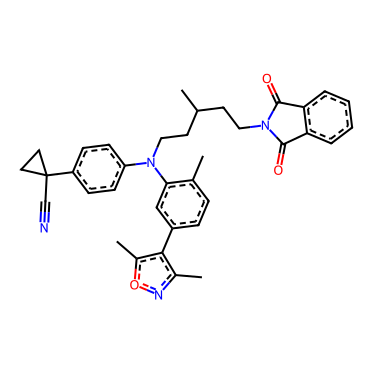 Cc1ccc(-c2c(C)noc2C)cc1N(CCC(C)CCN1C(=O)c2ccccc2C1=O)c1ccc(C2(C#N)CC2)cc1